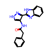 O=C(Cc1ccccc1)Nc1c[nH]nc1-c1nc2ccccc2[nH]1